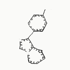 Cc1ccc(-c2ncn3ccccc23)cc1